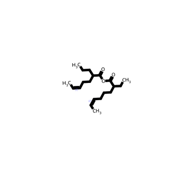 C/C=C\CCCC(CC)C(=O)OC(=O)C(CCC)CC/C=C\C